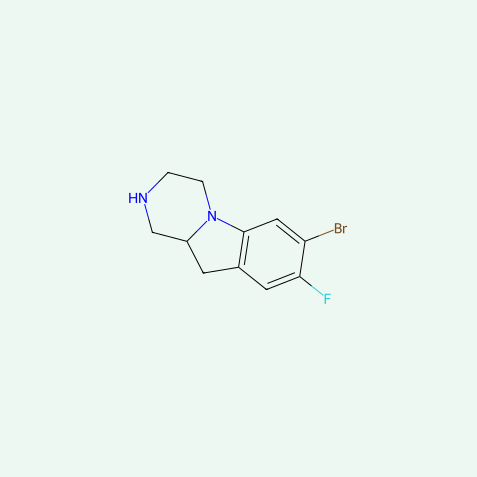 Fc1cc2c(cc1Br)N1CCNCC1C2